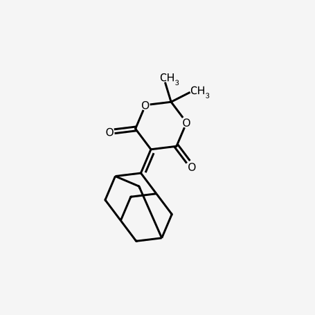 CC1(C)OC(=O)C(=C2C3CC4CC(C3)CC2C4)C(=O)O1